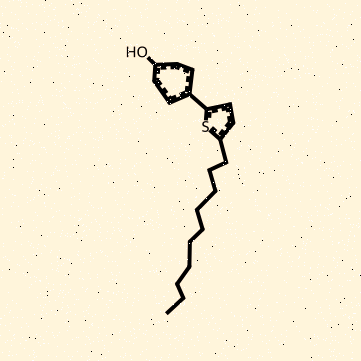 CCCCCCCCCCc1ccc(-c2ccc(O)cc2)s1